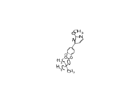 COc1nccc(-c2ccc(OC(=O)OC(C)(C)C)c(=O)cc2)n1